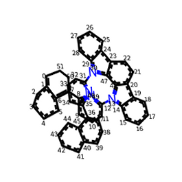 C1=c2ccccc2=C(c2cccc(-n3c4ccccc4c4ccc5c6ccccc6n(-c6cccc(-c7cccc8ccccc78)n6)c5c43)n2)CC1